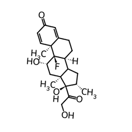 C[C@H]1CC2[C@@H]3CCC4=CC(=O)C=C[C@]4(C)[C@@]3(F)[C@@H](O)C[C@]2(C)[C@@]1(O)C(=O)CO